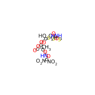 Cc1cc(OCCNC(=O)c2cc([N+](=O)[O-])cc([N+](=O)[O-])c2)ccc1C1c2ccc(OC(=O)Cc3ccc(SCC4=C(C(=O)O)N5C(=O)C(NC(=O)Cc6cccs6)[C@H]5SC45CC5)cc3)cc2OC2=CC(=O)C=CC21